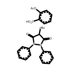 CC(=O)Oc1ccccc1C(=O)O.CCCCC1C(=O)N(c2ccccc2)N(c2ccccc2)C1=O